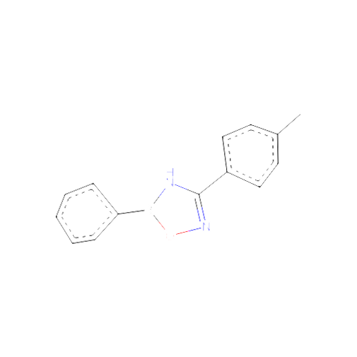 Cc1ccc(C2=NOB(c3ccccc3)N2)cc1